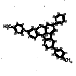 Cc1ccc(-c2ccc3c(c2)Sc2cc(-c4ccccc4)cc4c2B3c2ccc(-c3ccc(C)cc3)cc2-4)cc1